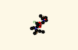 Clc1ccc2c(c1)-c1cc(N(c3ccc4ccccc4c3)c3cc(-c4ccc(-c5ccccc5)cc4)c4sc5ccccc5c4c3)ccc1C21c2ccccc2Oc2c(-c3cccc(N(c4ccccc4)c4ccc(-c5ccccc5)c5sc6ccccc6c45)c3)cccc21